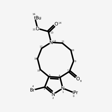 CC(C)n1nc(Br)c2c1C(=O)CCCN(C(=O)OC(C)(C)C)CCC2